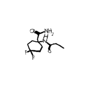 CCC(=O)NC1(C(N)=O)CCC(F)(F)CC1